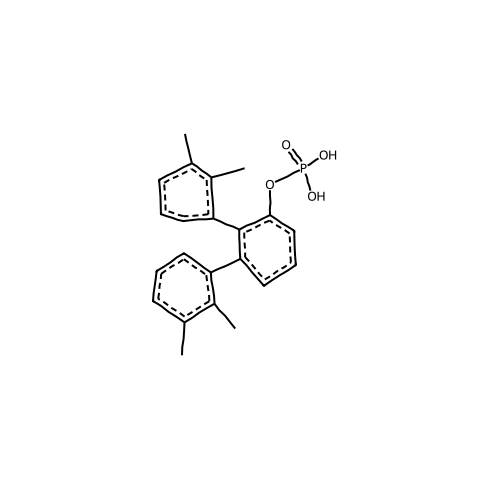 Cc1cccc(-c2cccc(OP(=O)(O)O)c2-c2cccc(C)c2C)c1C